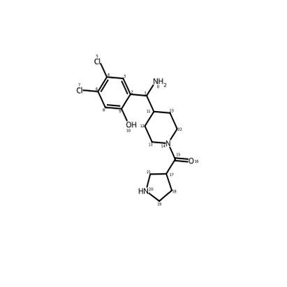 NC(c1cc(Cl)c(Cl)cc1O)C1CCN(C(=O)C2CCNC2)CC1